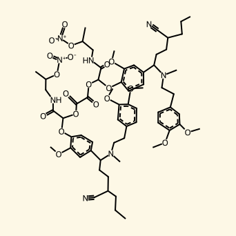 CCCC(C#N)CCC(c1ccc(OC(OC(=O)C(=O)OC(Oc2ccc(C(CCC(C#N)CCC)N(C)CCc3ccc(OC)c(OC)c3)cc2OC)C(=O)NCC(C)O[N+](=O)[O-])C(=O)NCC(C)O[N+](=O)[O-])c(OC)c1)N(C)CCc1ccc(OC)c(OC)c1